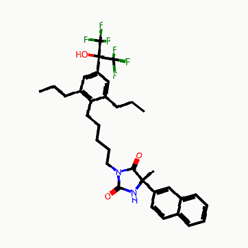 CCCc1cc(C(O)(C(F)(F)F)C(F)(F)F)cc(CCC)c1CCCCCN1C(=O)NC(C)(c2ccc3ccccc3c2)C1=O